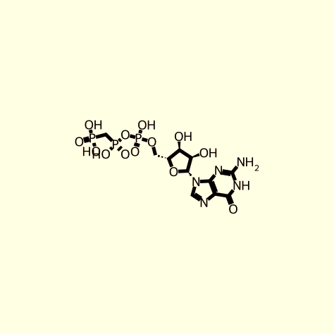 Nc1nc2c(ncn2[C@@H]2O[C@H](COP(=O)(O)OP(=O)(O)CP(=O)(O)O)[C@@H](O)[C@H]2O)c(=O)[nH]1